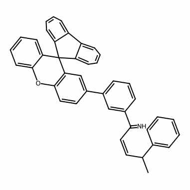 CC(/C=C\C(=N)c1cccc(-c2ccc3c(c2)C2(c4ccccc4O3)c3ccccc3-c3ccccc32)c1)c1ccccc1